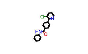 O=C(Nc1ccccc1)c1ccc(-c2ncccc2Cl)cc1